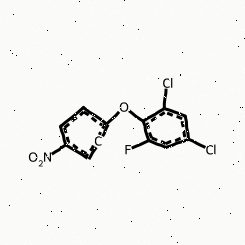 O=[N+]([O-])c1ccc(Oc2c(F)cc(Cl)cc2Cl)cc1